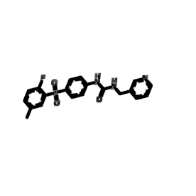 Cc1ccc(F)c(S(=O)(=O)c2ccc(NC(=O)NCc3cccnc3)cc2)c1